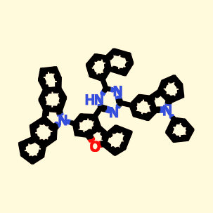 c1ccc(-n2c3ccccc3c3cc(C4=NC(c5cccc6ccccc56)NC(c5cc(-n6c7cc8ccccc8cc7c7cc8ccccc8cc76)cc6oc7ccccc7c56)=N4)ccc32)cc1